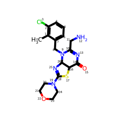 Cc1c(Cl)cccc1CN1C(CN)=NC(=O)C2SC(N3CCOCC3)=NC21